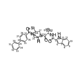 CC(C)(C)[C@H](NC(=O)c1cc2ccccc2[nH]1)C(=O)N1C[C@@H]2C[C@H]1CN2C(=O)c1ccc(-c2ccccc2)cc1